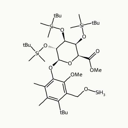 COC(=O)[C@H]1O[C@@H](Oc2c(C)c(C)c(C(C)(C)C)c(CO[SiH3])c2OC)[C@H](O[Si](C)(C)C(C)(C)C)[C@@H](O[Si](C)(C)C(C)(C)C)[C@H]1O[Si](C)(C)C(C)(C)C